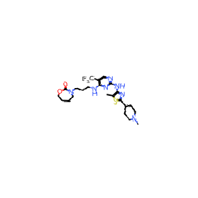 Cc1sc(C2CCN(C)CC2)nc1Nc1ncc(C(F)(F)F)c(NCCCN2CCCCOC2=O)n1